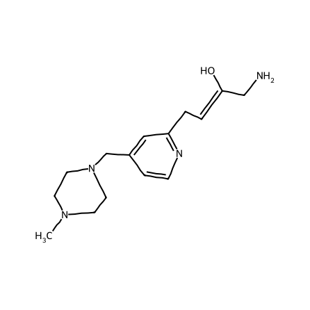 CN1CCN(Cc2ccnc(CC=C(O)CN)c2)CC1